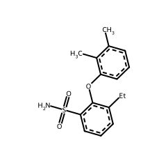 CCc1cccc(S(N)(=O)=O)c1Oc1cccc(C)c1C